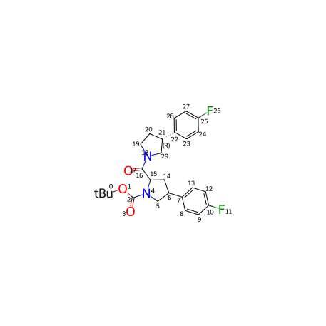 CC(C)(C)OC(=O)N1CC(c2ccc(F)cc2)CC1C(=O)N1CC[C@H](c2ccc(F)cc2)C1